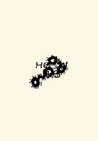 OC1C=CCN(Cc2cc(OC3C=CCN(CCc4ccccc4)C3)ccn2)C1